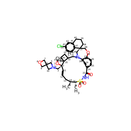 CO[C@@]1(CN2CC3(COC3)C2)/C=C/C[C@H](C)[C@@H](C)S(=O)(=O)NC(=O)c2ccc3c(c2)N(C[C@@H]2CC[C@H]21)C[C@@]1(CCCc2cc(Cl)ccc21)CO3